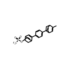 CC1=CC2CCC1C=C2c1ccc(C2=CC3CCC2C=C3OS(=O)(=O)C(F)(F)F)cc1